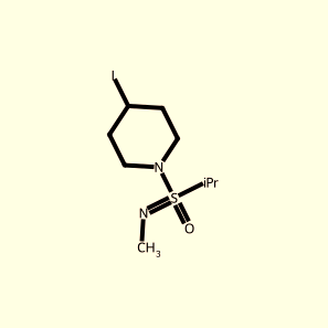 CN=S(=O)(C(C)C)N1CCC(I)CC1